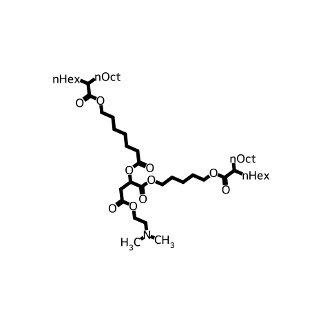 CCCCCCCCC(CCCCCC)C(=O)OCCCCCCC(=O)OC(CC(=O)OCCN(C)C)C(=O)OCCCCCOC(=O)C(CCCCCC)CCCCCCCC